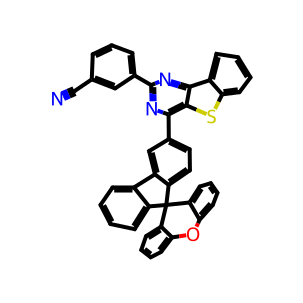 N#Cc1cccc(-c2nc(-c3ccc4c(c3)-c3ccccc3C43c4ccccc4Oc4ccccc43)c3sc4ccccc4c3n2)c1